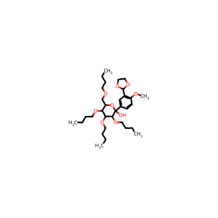 CCCCOCC1OC(O)(c2ccc(OC)c(C3OCCO3)c2)C(OCCCC)C(OCCCC)C1OCCCC